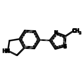 Cc1nc(-c2ccc3c(c2)CNC3)cs1